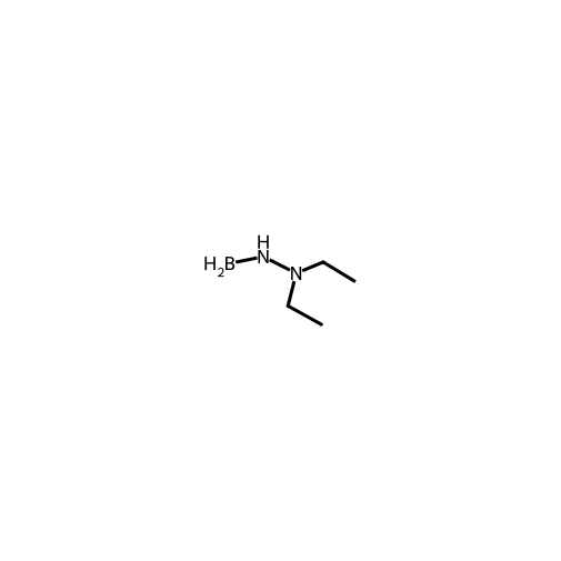 BNN(CC)CC